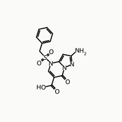 Nc1cc2n(S(=O)(=O)Cc3ccccc3)cc(C(=O)O)c(=O)n2n1